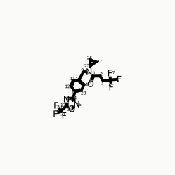 O=C(CCC(F)(F)F)N(Cc1ccc(-c2noc(C(F)(F)F)n2)cc1)C1CC1